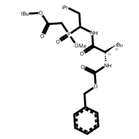 CC[C@H](C)[C@H](NC(=O)OCc1ccccc1)C(=O)NC(CC(C)C)P(=O)(CC(=O)OC(C)(C)C)OC